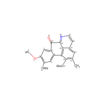 CCCOc1cc2c(cc1OC)-c1c(OC)c(C)cc3ccnc(c13)C2=O